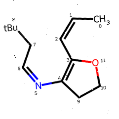 C/C=C\C1=C(/N=C\CC(C)(C)C)CCO1